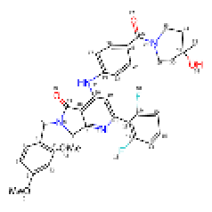 COc1ccc(CN2Cc3nc(-c4c(F)cccc4F)cc(Nc4ccc(C(=O)N5CCC(C)(O)CC5)cc4)c3C2=O)c(OC)c1